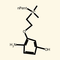 CCCCC[N+](C)(C)CCOc1cc(O)ccc1N